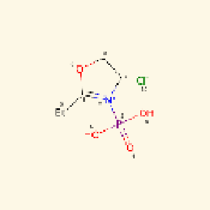 CCC1=[N+](P(=O)(O)O)CCO1.[Cl-]